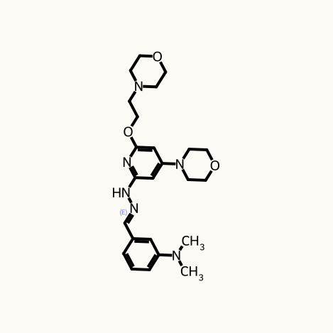 CN(C)c1cccc(/C=N/Nc2cc(N3CCOCC3)cc(OCCN3CCOCC3)n2)c1